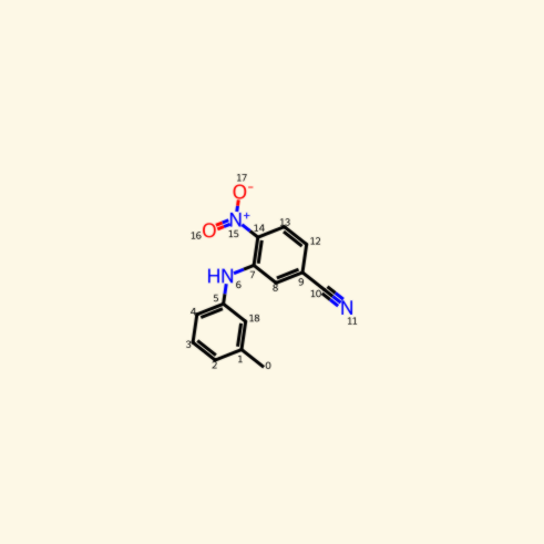 Cc1cccc(Nc2cc(C#N)ccc2[N+](=O)[O-])c1